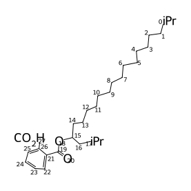 CC(C)CCCCCCCCCCCCCCC(CC(C)C)OC(=O)c1ccccc1C(=O)O